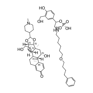 CN1CCC(C2O[C@H]3C[C@H]4[C@@H]5CCC6=CC(=O)C=C[C@]6(C)[C@H]5[C@@H](O)C[C@]4(C)[C@]3(C(=O)CO)O2)CC1.O=P(O)(O)OC(CNCCCCCCOCCCCc1ccccc1)c1ccc(O)c(CO)c1